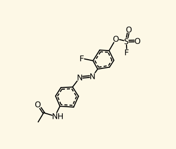 CC(=O)Nc1ccc(/N=N/c2ccc(OS(=O)(=O)F)cc2F)cc1